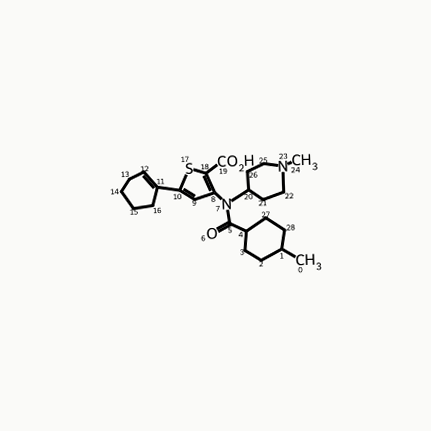 CC1CCC(C(=O)N(c2cc(C3=CCCCC3)sc2C(=O)O)C2CCN(C)CC2)CC1